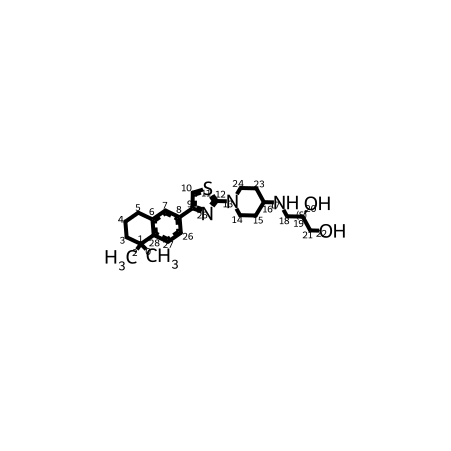 CC1(C)CCCc2cc(-c3csc(N4CCC(NC[C@H](O)CO)CC4)n3)ccc21